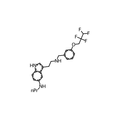 CCCNc1ccc2[nH]cc(CCNCc3cccc(OCC(F)(F)C(F)F)c3)c2c1